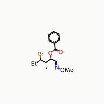 CC[C@@H](Br)[C@@H](C)[C@H](C=NOC)OC(=O)c1ccccc1